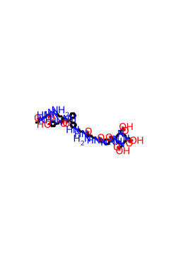 CCC(=O)NCCNC(=O)/N=C(/N)NCCC[C@@H](NC(=O)[C@H](c1ccccc1)c1ccc(NCCCNC(=O)[C@H](N)CCCNC(=O)CN2CCC(NC(C=O)N3CCN(CC(=O)O)CCN(CC(=O)O)CCN(CC(=O)O)CC3)CC2)cc1)C(=O)NCc1ccc(O)cc1